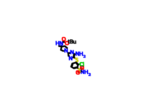 CC1(NC(=O)OC(C)(C)C)CCN(c2cnc(Sc3cccc(S(N)(=O)=O)c3Cl)c(N)n2)CC1